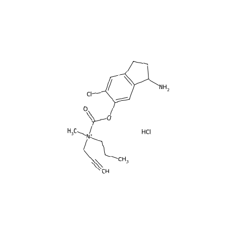 C#CC[N+](C)(CCC)C(=O)Oc1cc2c(cc1Cl)CCC2N.Cl